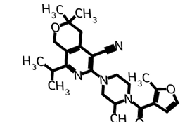 Cc1occc1C(=O)N1CCN(c2nc(C(C)C)c3c(c2C#N)CC(C)(C)OC3)CC1C